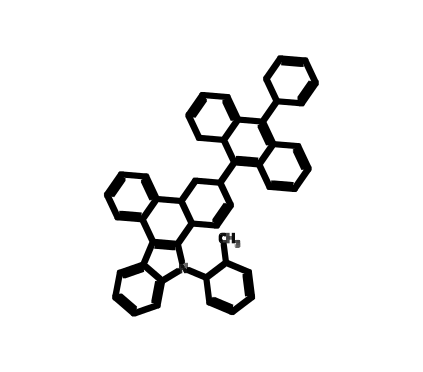 CC1C=CC=CC1n1c2c(c3ccccc31)-c1ccccc1C1CC(C3=c4ccccc4=C(C4C=CC=CC4)C4=CC=CCC43)C=CC21